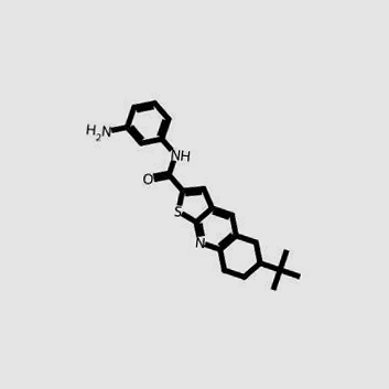 CC(C)(C)C1CCc2nc3sc(C(=O)Nc4cccc(N)c4)cc3cc2C1